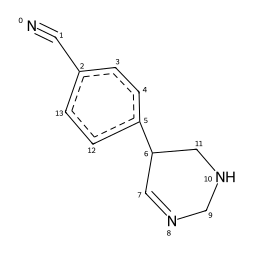 N#Cc1ccc(C2C=NCNC2)cc1